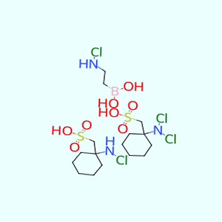 O=S(=O)(O)CC1(N(Cl)Cl)CCCCC1.O=S(=O)(O)CC1(NCl)CCCCC1.OB(O)CCNCl